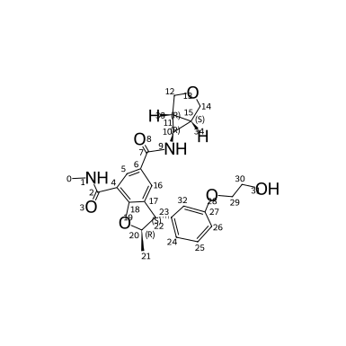 CNC(=O)c1cc(C(=O)N[C@H]2[C@@H]3COC[C@@H]32)cc2c1O[C@H](C)[C@H]2c1cccc(OCCO)c1